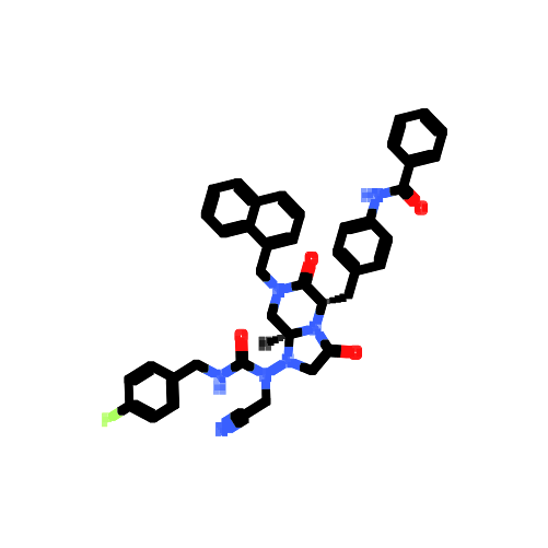 N#CCN(C(=O)NCc1ccc(F)cc1)N1CC(=O)N2[C@@H](Cc3ccc(NC(=O)c4ccccc4)cc3)C(=O)N(Cc3cccc4ccccc34)C[C@@H]21